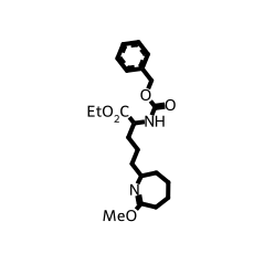 CCOC(=O)C(CCCC1CCCCC(OC)=N1)NC(=O)OCc1ccccc1